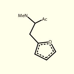 CNC(Cc1ccco1)C(C)=O